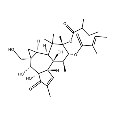 C/C=C(\C)C(=O)O[C@@H]1[C@@H](C)[C@]2(O)[C@@H]3C=C(C)C(=O)[C@@]3(O)[C@H](O)[C@@]3(CO)C[C@H]3[C@H]2C(C)(C)[C@]1(C)OC(=O)C(C)CC